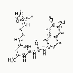 CC1CC(NCCNS(C)(=O)=O)NC(NC(=O)Nc2ccc3cc(Cl)c(Cl)cc3c2)N1